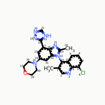 Cc1cnc2c(Cl)cccc2c1-n1c(C)nc2c(-c3nnc[nH]3)cc(N3CCOCC3)cc21